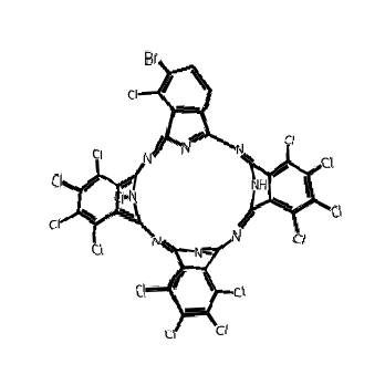 Clc1c(Cl)c(Cl)c2c(c1Cl)-c1nc-2nc2c3c(Cl)c(Cl)c(Cl)c(Cl)c3c(nc3nc(nc4[nH]c(n1)c1c(Cl)c(Cl)c(Cl)c(Cl)c41)-c1ccc(Br)c(Cl)c1-3)n2Cl